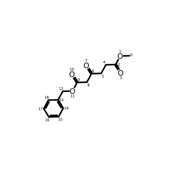 COC(=O)CCC(=O)CC(=O)OCc1ccccc1